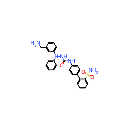 NCc1cccc(N(NC(=O)Nc2ccc(-c3ccccc3S(N)(=O)=O)cc2)c2ccccc2)c1